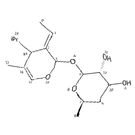 C/C=C1/C(OC2O[C@H](C)CC(O)[C@H]2O)OC=C(C)C1C(C)C